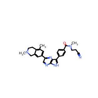 Cc1cc(-c2cnc3[nH]cc(-c4ccc(C(=O)N(C)CCC#N)cc4)c3n2)cc2c1CCN(C)C2